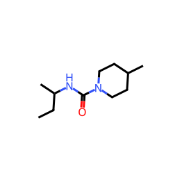 CCC(C)NC(=O)N1CCC(C)CC1